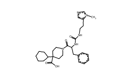 Cn1cncc1CCNC(=O)NC(Cc1ccccc1)C(=O)N1CCC(C(=O)O)(C2CCCCC2)CC1